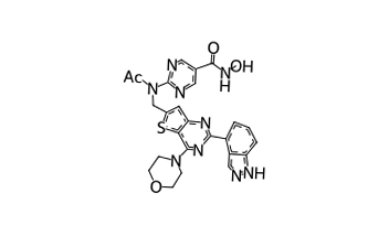 CC(=O)N(Cc1cc2nc(-c3cccc4[nH]ncc34)nc(N3CCOCC3)c2s1)c1ncc(C(=O)NO)cn1